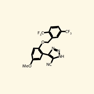 COc1ccc(OCc2cc(C(F)(F)F)ccc2C(F)(F)F)c(-c2nn[nH]c2C#N)c1